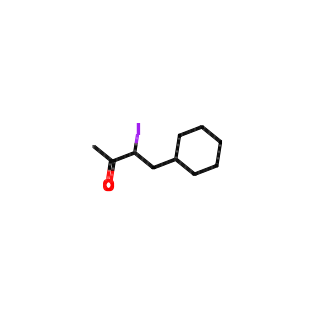 CC(=O)C(I)CC1CCCCC1